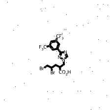 O=C(O)C(CC(Br)CBr)Cn1cnc(-c2cc(C(F)(F)F)cc(C(F)(F)F)c2)n1